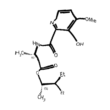 CCC(CC)[C@H](C)OC(=O)[C@H](C)NC(=O)c1nccc(OC)c1O